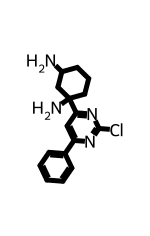 NC1CCCC(N)(c2cc(-c3ccccc3)nc(Cl)n2)C1